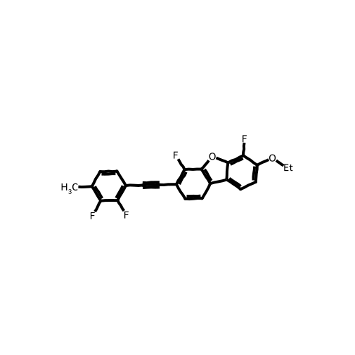 CCOc1ccc2c(oc3c(F)c(C#Cc4ccc(C)c(F)c4F)ccc32)c1F